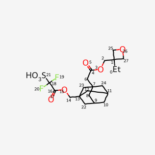 CCC1(COC(=O)CC23CC4CC(CC(COC(=O)C(F)(F)S(=O)(=O)O)(C4)C2)C3)COC1